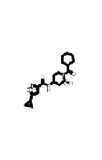 CC[C@H]1CC(NC(=O)c2cc(C3CC3)on2)CCN1C(=O)C1CCCCC1